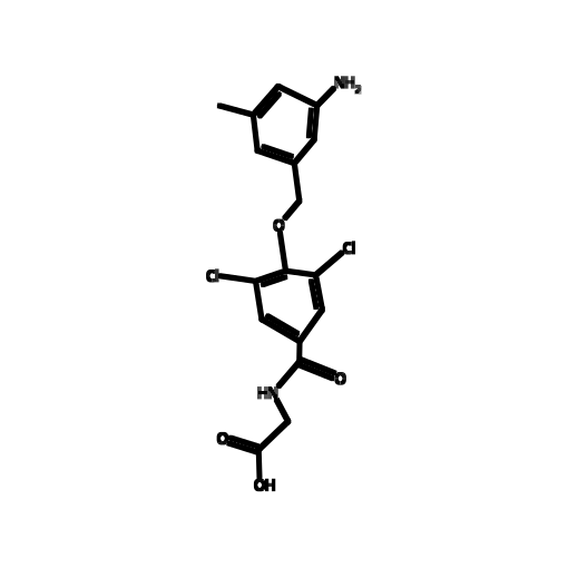 Cc1cc(N)cc(COc2c(Cl)cc(C(=O)NCC(=O)O)cc2Cl)c1